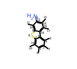 Cc1c(C)c(C)c2c(sc3c(C)c(N)c(C)c(C)c32)c1C